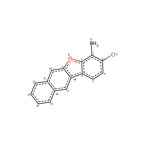 Bc1c(Cl)ccc2c1oc1cc3ccccc3cc12